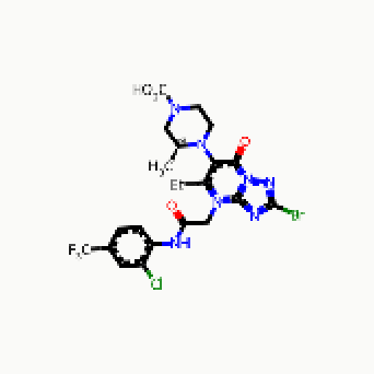 CCc1c(N2CCN(C(=O)O)C[C@@H]2C)c(=O)n2nc(Br)nc2n1CC(=O)Nc1ccc(C(F)(F)F)cc1Cl